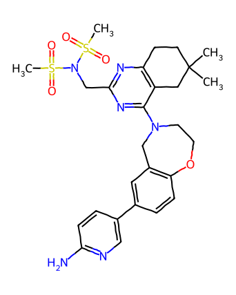 CC1(C)CCc2nc(CN(S(C)(=O)=O)S(C)(=O)=O)nc(N3CCOc4ccc(-c5ccc(N)nc5)cc4C3)c2C1